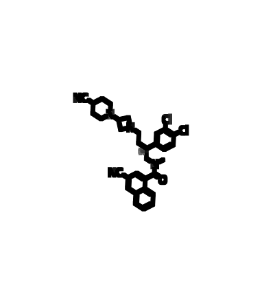 CN(C[C@@H](CCN1CC(N2CCC(C#N)CC2)C1)c1ccc(Cl)c(Cl)c1)C(=O)c1cc(C#N)cc2ccccc12